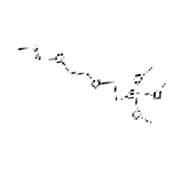 CC=COCCOCC[Si](OC)(OC)OC